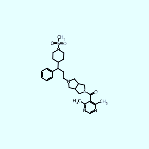 Cc1ncnc(C)c1C(=O)N1CC2CN(CCC(c3ccccc3)C3CCN(S(C)(=O)=O)CC3)CC2C1